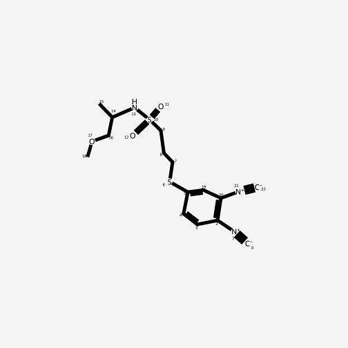 [C-]#[N+]c1ccc(SCCCS(=O)(=O)NC(C)COC)cc1[N+]#[C-]